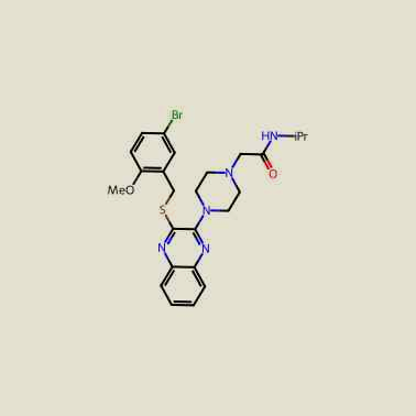 COc1ccc(Br)cc1CSc1nc2ccccc2nc1N1CCN(CC(=O)NC(C)C)CC1